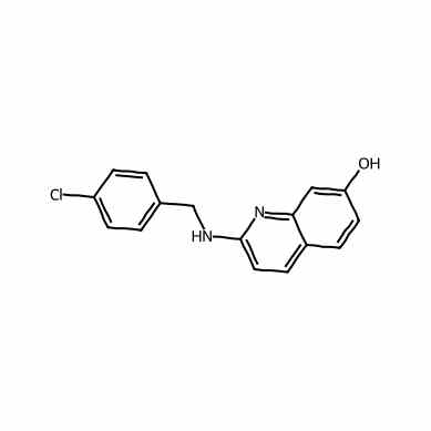 Oc1ccc2ccc(NCc3ccc(Cl)cc3)nc2c1